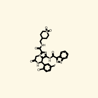 O=C1Cn2c(C(=O)NCC3CCS(=O)(=O)CC3)nc(NC(=O)c3nsc4ccccc34)c2C(c2cc(F)ccc2Cl)N1